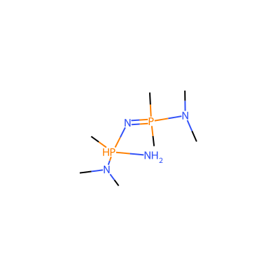 CN(C)P(C)(C)=N[PH](C)(N)N(C)C